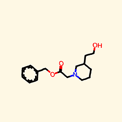 O=C(CN1CCCC(CCO)C1)OCc1ccccc1